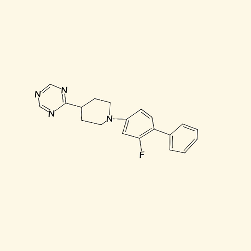 Fc1cc(N2CCC(c3ncncn3)CC2)ccc1-c1ccccc1